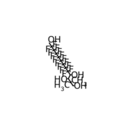 CC(C)(CO)C(O)C(O)C(F)(F)C(F)(F)C(F)(F)C(F)(F)C(F)(F)C(F)(F)C(F)(F)C(F)(F)CO